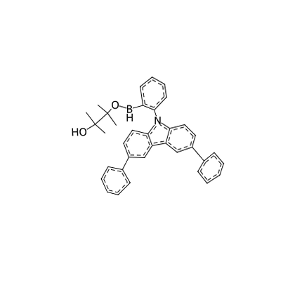 CC(C)(O)C(C)(C)OBc1ccccc1-n1c2ccc(-c3ccccc3)cc2c2cc(-c3ccccc3)ccc21